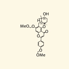 COCOc1ccc(-c2cc(=O)c3c4c(c(OCOC)cc3o2)C[C@H]2C(C)(C)[C@H](O)CC[C@@]2(C)O4)cc1